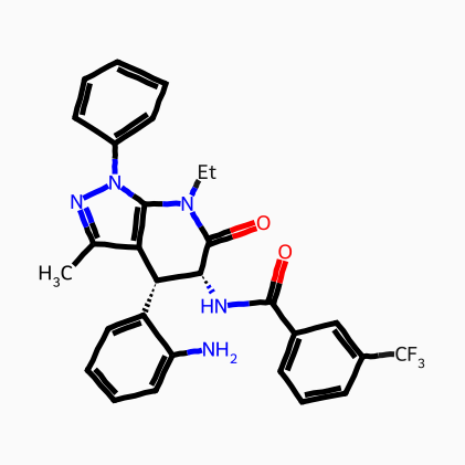 CCN1C(=O)[C@H](NC(=O)c2cccc(C(F)(F)F)c2)[C@H](c2ccccc2N)c2c(C)nn(-c3ccccc3)c21